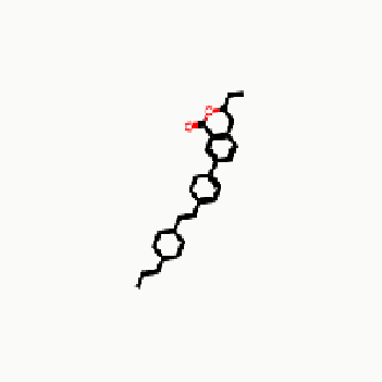 CCCC1CCC(CCC2=CC=C(c3ccc4c(c3)C(=O)OC(CC)C4)CC2)CC1